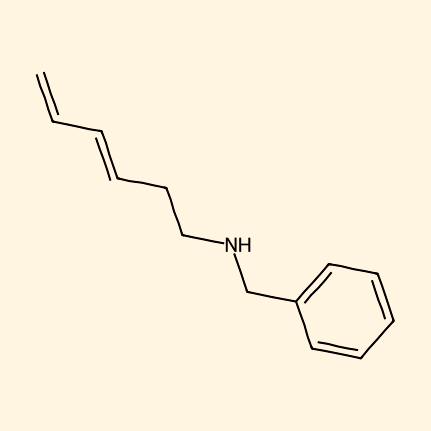 C=C/C=C/CCNCc1ccccc1